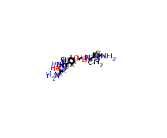 C/C(=N\OCCOc1ccc(-c2cn(CC(O)CN)c(=N)n2C)cc1)c1csc(N)n1